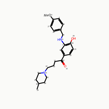 COc1ccc(CNc2cc(C(=O)CCCN3CCC(C)CC3)ccc2O)cc1